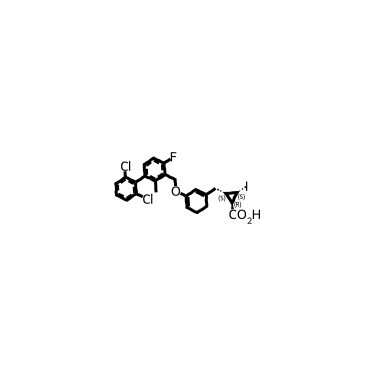 Cc1c(-c2c(Cl)cccc2Cl)ccc(F)c1COC1=CCCC(C[C@@H]2[C@H](I)[C@H]2C(=O)O)=C1